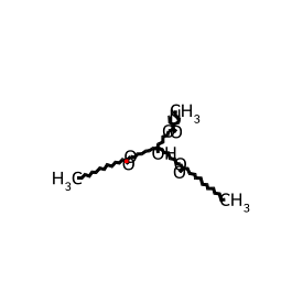 CCCCCCCCCCCCCC(=O)OCCCCCCC(O)(CCCCCCOC(=O)CCCCCCCCCCCCC)CCCCOC(=O)C1CCN(C)CC1